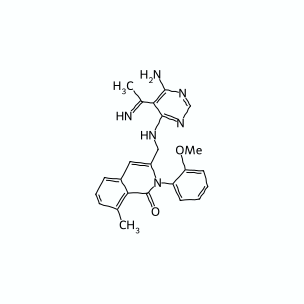 COc1ccccc1-n1c(CNc2ncnc(N)c2C(C)=N)cc2cccc(C)c2c1=O